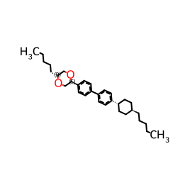 CCCCC[C@@H]1CO[C@@H](c2ccc(-c3ccc([C@H]4CC[C@H](CCCCC)CC4)cc3)cc2)CO1